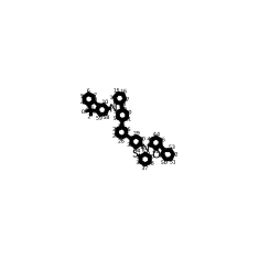 CC1(C)c2ccccc2-c2cc(-n3c4ccccc4c4ccc(-c5cccc(-c6ccc7c(c6)Sc6ccccc6N7c6cccc7c6oc6ccccc67)c5)cc43)ccc21